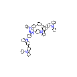 CC1C=C(c2ccc3c(c2)c2c(-c4ccc(-n5c6ccccc6c6cc(-c7ccc8c9ccccc9n(-c9ccccc9)c8c7)ccc65)cc4)nc(-c4ccc(-n5c6ccccc6c6cc(-c7ccc8c9ccccc9n(-c9ccccc9)c8c7)ccc65)cc4)nc2n3-c2ccccc2)C=CC1